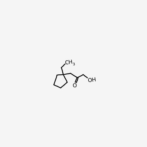 CCC1(CC(=O)CO)CCCC1